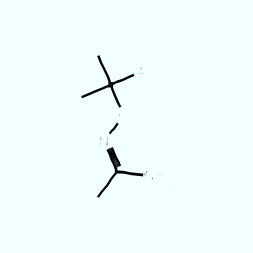 CC(=O)C(C)(C)ON=C(C)N